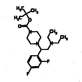 CCN(CC)CC(c1ccc(F)cc1F)N1CCN(C(=O)OC(C)(C)C)CC1